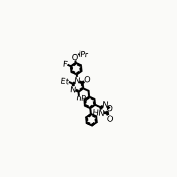 CCCc1nc(CC)n(-c2ccc(OC(C)C)c(F)c2)c(=O)c1Cc1ccc(-c2ccccc2)c(-c2noc(=O)[nH]2)c1